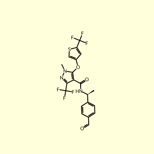 C[C@H](NC(=O)c1c(C(F)(F)F)nn(C)c1Oc1csc(C(F)(F)F)c1)c1ccc(C=O)cc1